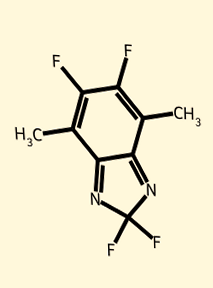 Cc1c(F)c(F)c(C)c2c1=NC(F)(F)N=2